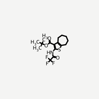 CC(C)(C)OC(=O)c1c(NC(=O)C(F)(F)F)sc2c1CCCCC2